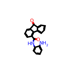 Nc1ccccc1NC(=O)c1cccc2c1-c1ccccc1C2=O